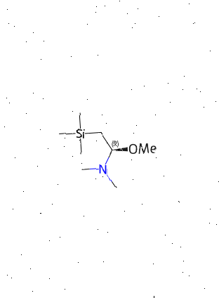 CO[C@H](C[Si](C)(C)C)N(C)C